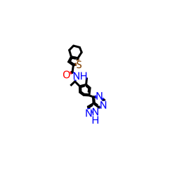 Cc1cc(-c2ncnc3[nH]ncc23)ccc1C(C)NC(=O)c1cc2c(s1)CCCC2